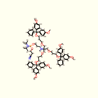 COc1ccc(C(OCCCOCC(COCCCOC(c2ccccc2)(c2ccc(OC)cc2)c2ccc(OC)cc2)(COCCCOC(c2ccccc2)(c2ccc(OC)cc2)c2ccc(OC)cc2)N(C)CCCOP(OCCC#N)N(C(C)C)C(C)C)(c2ccccc2)c2ccc(OC)cc2)cc1